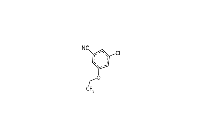 N#Cc1cc(Cl)cc(OCC(F)(F)F)c1